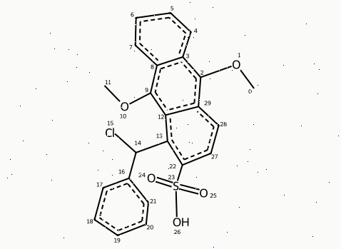 COc1c2ccccc2c(OC)c2c(C(Cl)c3ccccc3)c(S(=O)(=O)O)ccc12